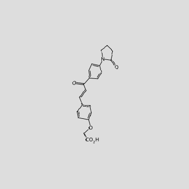 O=C(O)COc1ccc(C=CC(=O)c2ccc(N3CCCC3=O)cc2)cc1